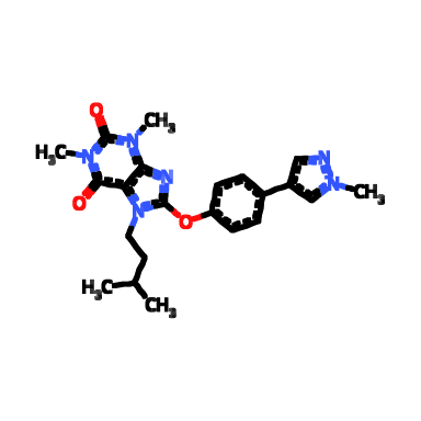 CC(C)CCn1c(Oc2ccc(-c3cnn(C)c3)cc2)nc2c1c(=O)n(C)c(=O)n2C